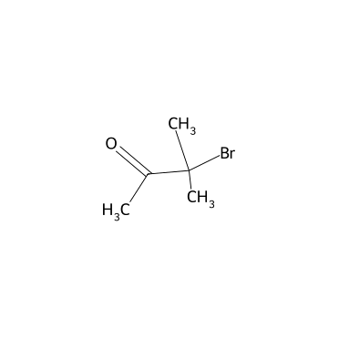 CC(=O)C(C)(C)Br